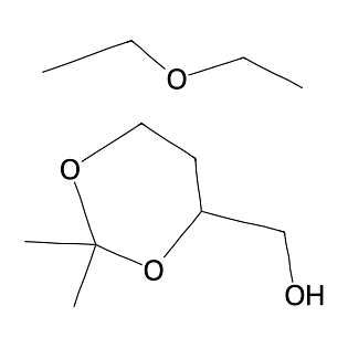 CC1(C)OCCC(CO)O1.CCOCC